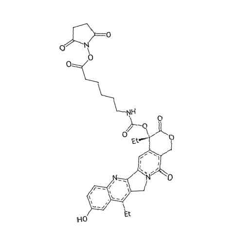 CCc1c2c(nc3ccc(O)cc13)-c1cc3c(c(=O)n1C2)COC(=O)[C@@]3(CC)OC(=O)NCCCCCC(=O)ON1C(=O)CCC1=O